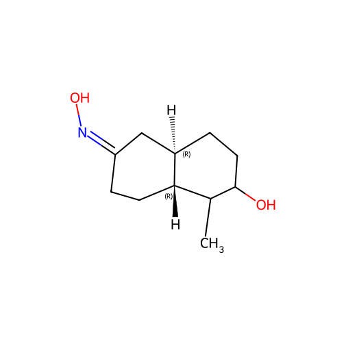 CC1C(O)CC[C@@H]2CC(=NO)CC[C@@H]12